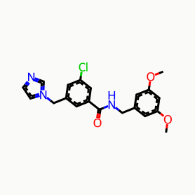 COc1cc(CNC(=O)c2cc(Cl)cc(Cn3ccnc3)c2)cc(OC)c1